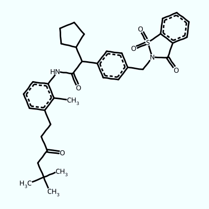 Cc1c(CCC(=O)CC(C)(C)C)cccc1NC(=O)C(c1ccc(CN2C(=O)c3ccccc3S2(=O)=O)cc1)C1CCCC1